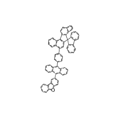 c1ccc2c(c1)-c1ccccc1C21c2cc(-c3ccc(-c4c5ccccc5c(-c5ccc6oc7ccccc7c6c5)c5ccccc45)cc3)c3ccccc3c2-c2ccc3ccccc3c21